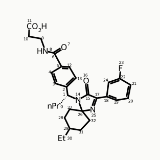 CCC[C@H](c1ccc(C(=O)NCCC(=O)O)cc1)N1C(=O)C(c2cccc(F)c2)=NC12CCC(CC)CC2